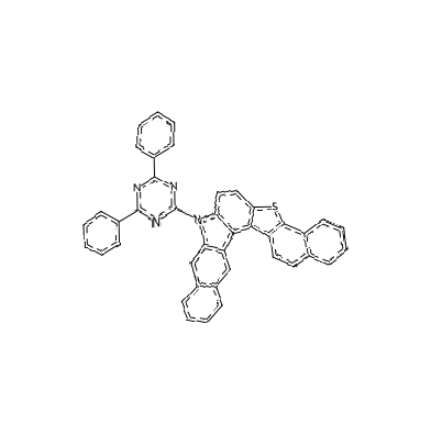 c1ccc(-c2nc(-c3ccccc3)nc(-n3c4cc5ccccc5cc4c4c5c(ccc43)sc3c4ccccc4ccc35)n2)cc1